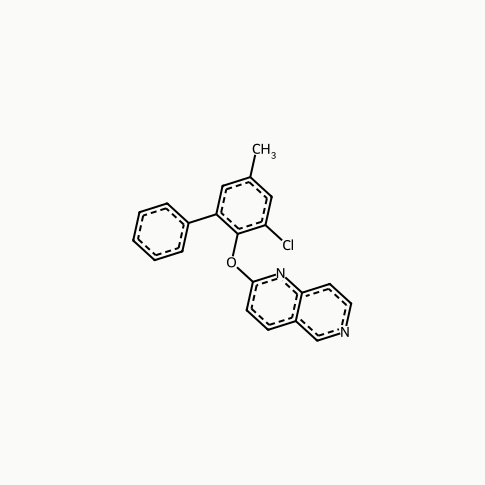 Cc1cc(Cl)c(Oc2ccc3cnccc3n2)c(-c2ccccc2)c1